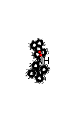 c1ccc(-c2cccc3cccc(-c4ccc(Nc5cccc([Si]6(c7ccccc7)c7ccccc7-c7ccccc76)c5)cc4)c23)cc1